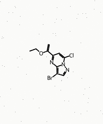 C=C(OCC)c1cc(Cl)n2ncc(Br)c2n1